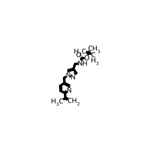 C=C(C)c1ccc(Cn2cc(CNC(=O)OC(C)(C)C)cn2)cn1